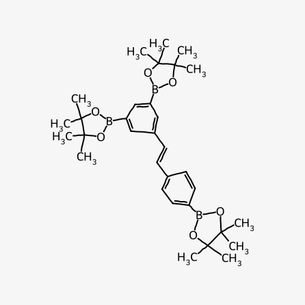 CC1(C)OB(c2ccc(/C=C/c3cc(B4OC(C)(C)C(C)(C)O4)cc(B4OC(C)(C)C(C)(C)O4)c3)cc2)OC1(C)C